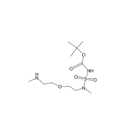 CNCCOCCN(C)S(=O)(=O)NC(=O)OC(C)(C)C